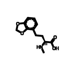 CN[C@@H](CCc1cccc2c1OCO2)C(=O)O